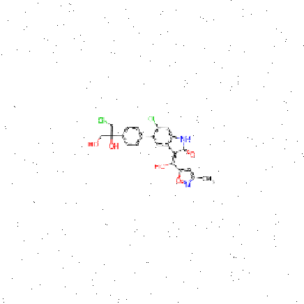 Cc1cc(C(O)=C2C(=O)Nc3cc(Cl)c(-c4ccc(C(O)(CO)CCl)cc4)cc32)on1